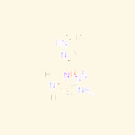 CC(=O)NNc1ccc(-c2cnn3c(N)c(C(C)=O)c([C@@H]4C[C@H]5CC[C@@H](C4)N5C(=O)CO)nc23)cn1